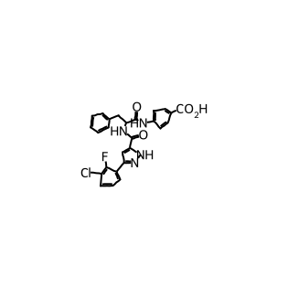 O=C(O)c1ccc(NC(=O)C(Cc2ccccc2)NC(=O)c2cc(-c3cccc(Cl)c3F)n[nH]2)cc1